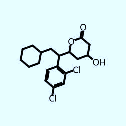 O=C1CC(O)CC(C(CC2CCCCC2)c2ccc(Cl)cc2Cl)O1